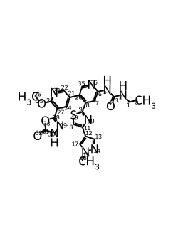 CCNC(=O)Nc1cc(-c2nc(-c3cnn(C)c3)cs2)c(-c2cnc(OC)c(-c3n[nH]c(=O)o3)c2)cn1